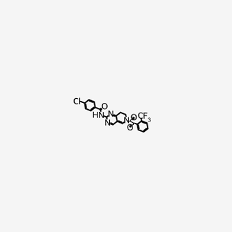 O=C(NC1N=CC2=CN(S(=O)(=O)c3ccccc3C(F)(F)F)CCC2=N1)c1ccc(Cl)cc1